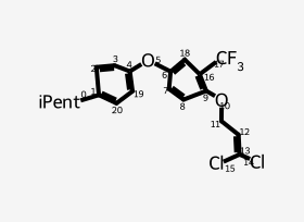 CCCC(C)c1ccc(Oc2ccc(OCC=C(Cl)Cl)c(C(F)(F)F)c2)cc1